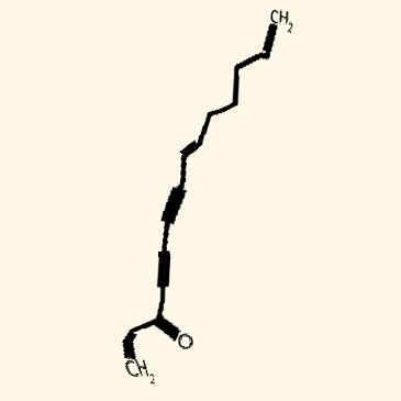 C=CCCC/C=C/C#CC#CC(=O)C=C